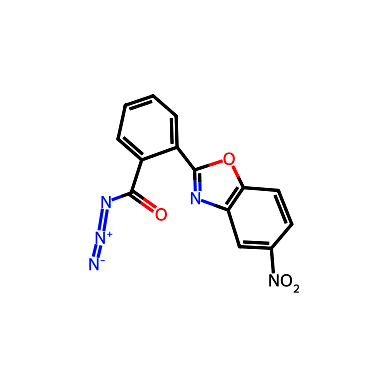 [N-]=[N+]=NC(=O)c1ccccc1-c1nc2cc([N+](=O)[O-])ccc2o1